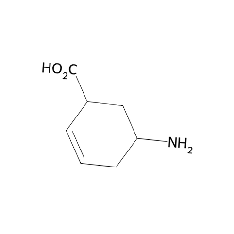 NC1CC=CC(C(=O)O)C1